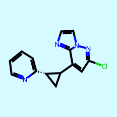 Clc1cc(C2C[C@@H]2c2ccccn2)c2nccn2n1